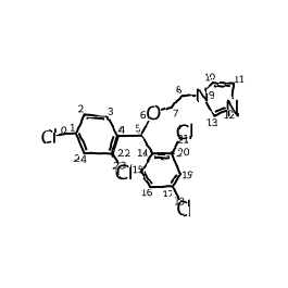 Clc1ccc(C(OCCn2ccnc2)c2ccc(Cl)cc2Cl)c(Cl)c1